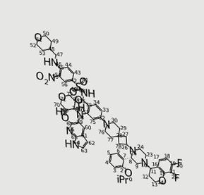 CC(C)Oc1ccccc1[C@H]1CN([C@@H]2CCOc3c2ccc(F)c3F)CCN1C1CC2(CCN(c3ccc(C(=O)NS(=O)(=O)c4ccc(NCC5CCOCC5)c([N+](=O)[O-])c4)c(N4c5cc6cc[nH]c6nc5O[C@H]5COCC[C@@H]54)c3)CC2)C1